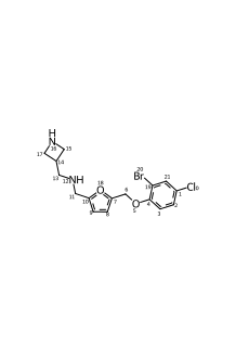 Clc1ccc(OCc2ccc(CNCC3CNC3)o2)c(Br)c1